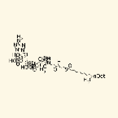 CCCCCCCCC(C)CCCCCCCCC(=O)SCCNC(=O)CCNC(=O)[C@H](O)C(C)(C)COP(=O)(O)OP(=O)(O)OC[C@H]1O[C@@H](n2cnc3c(N)ncnc32)[C@H](O)[C@@H]1OP(=O)(O)O